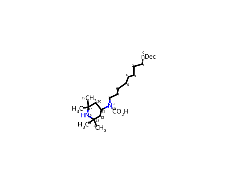 CCCCCCCCCCCCCCCCCCN(C(=O)O)C1CC(C)(C)NC(C)(C)C1